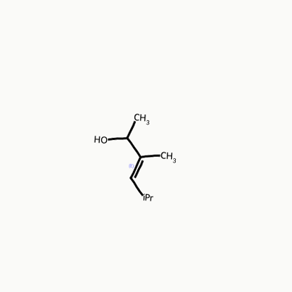 C/C(=C\C(C)C)C(C)O